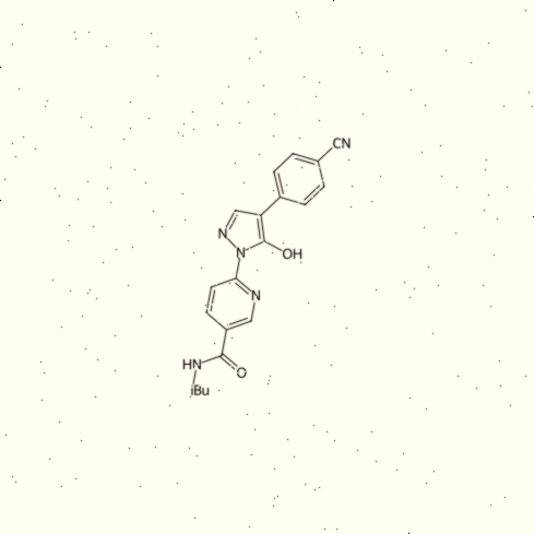 CCC(C)NC(=O)c1ccc(-n2ncc(-c3ccc(C#N)cc3)c2O)nc1